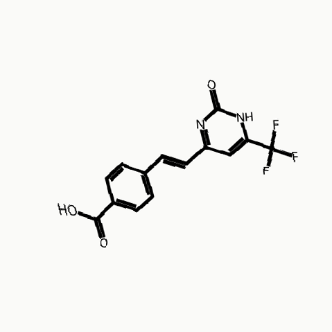 O=C(O)c1ccc(C=Cc2cc(C(F)(F)F)[nH]c(=O)n2)cc1